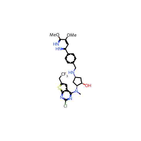 COC(=N)/C(=C\C(=N)c1ccc(CN[C@H]2C[C@@H](O)[C@@H](N(C)c3nc(Cl)nc4sc(CC(F)(F)F)cc34)C2)cc1)OC